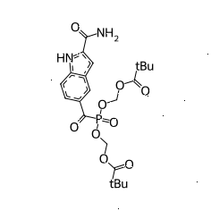 CC(C)(C)C(=O)OCOP(=O)(OCOC(=O)C(C)(C)C)C(=O)c1ccc2[nH]c(C(N)=O)cc2c1